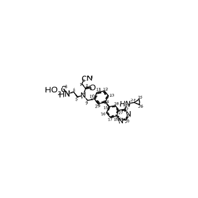 N#CCC(=O)N(CCNC(=O)O)Cc1cccc(-c2ccc3ncnc(NC4CC4)c3c2)c1